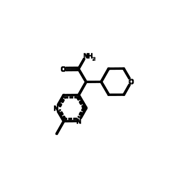 Cc1ncc(C(C(N)=O)C2CCOCC2)cn1